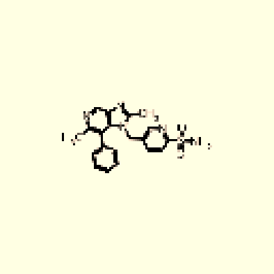 Cc1ncc2nc(C)n(Cc3ccc(S(N)(=O)=O)nc3)c2c1-c1ccccc1